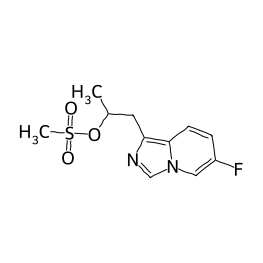 CC(Cc1ncn2cc(F)ccc12)OS(C)(=O)=O